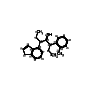 CCN(C(=N)N(CC)c1cccc2c1C=CC2)c1ccccc1C